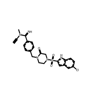 C#CN(C)C(=N)c1ccc(CN2CCN(S(=O)(=O)c3cc4cc(Cl)ccc4[nH]3)CC2=O)cc1